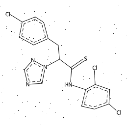 S=C(Nc1ccc(Cl)cc1Cl)C(Cc1ccc(Cl)cc1)n1cncn1